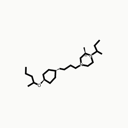 CCCC(C)O[C@H]1CC[C@H](CCCCN2CCN(C(C)CC)[C@H](C)C2)CC1